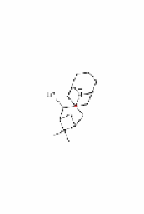 CC1C([BH-]2C3CCCC2CCC3)CC2CC1C2(C)C.[Li+]